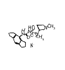 CN1CCC(N(C)S(=O)(=O)NC(=O)Nc2c3c(cc4c2CCC4)CCC3)C1.[K]